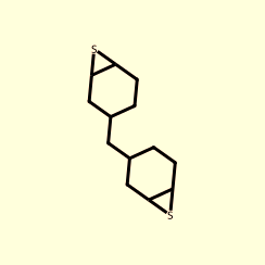 C1CC2SC2CC1CC1CCC2SC2C1